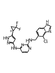 FC1(F)C[C@@H]1c1cc(Nc2ccnc(NCc3ccc4[nH]cnc4c3Cl)n2)n[nH]1